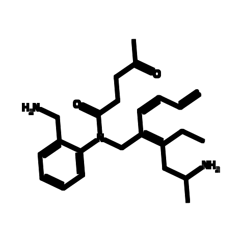 C=C/C=C\C(CN(C(=O)CCC(C)=O)c1ccccc1CN)=C(/CC)CC(C)N